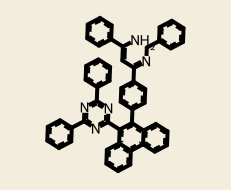 N/C(=C\C(=N/Cc1ccccc1)c1ccc(-c2c(-c3nc(-c4ccccc4)nc(-c4ccccc4)n3)c3ccccc3c3ccccc23)cc1)c1ccccc1